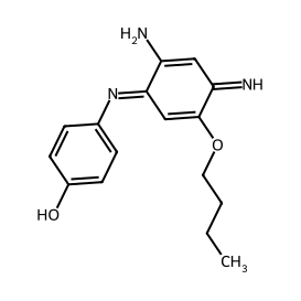 CCCCOC1=CC(=Nc2ccc(O)cc2)C(N)=CC1=N